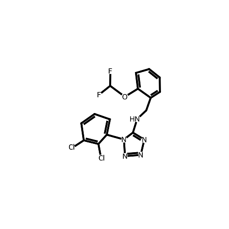 FC(F)Oc1ccccc1CNc1nnnn1-c1cccc(Cl)c1Cl